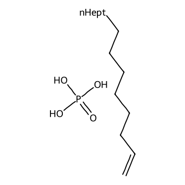 C=CCCCCCCCCCCCCC.O=P(O)(O)O